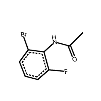 CC(=O)Nc1c(F)cccc1Br